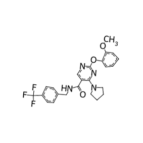 COc1ccccc1Oc1ncc(C(=O)NCc2ccc(C(F)(F)F)cc2)c(N2CCCC2)n1